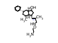 C/C(=C\[C@@H]1C[C@H](O)[C@H]2C[C@@H](c3ccccc3)C[C@H](C)[C@@H]21)CNOCCN